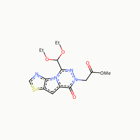 CCOC(OCC)c1nn(CC(=O)OC)c(=O)c2cc3scnc3n12